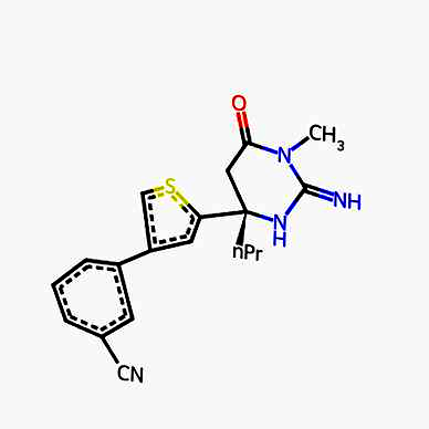 CCC[C@@]1(c2cc(-c3cccc(C#N)c3)cs2)CC(=O)N(C)C(=N)N1